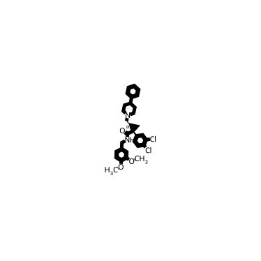 COc1ccc(CNC(=O)[C@@]2(c3ccc(Cl)c(Cl)c3)C[C@H]2CN2CCC(c3ccccc3)CC2)cc1OC